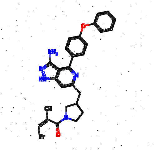 CC(C)/C=C(/C#N)C(=O)N1CCC(Cc2cc3[nH]nc(N)c3c(-c3ccc(Oc4ccccc4)cc3)n2)C1